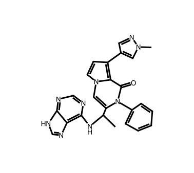 CC(Nc1ncnc2[nH]cnc12)c1cn2ccc(-c3cnn(C)c3)c2c(=O)n1-c1ccccc1